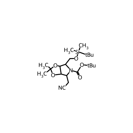 CC(C)(C)OC(=O)N1C(CC#N)C2OC(C)(C)OC2C1CO[Si](C)(C)C(C)(C)C